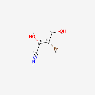 N#C[C@H](O)[C@@H](Br)CO